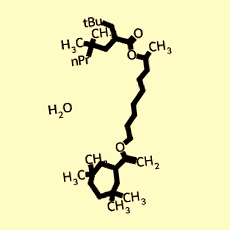 C=C(OCCCCCCCC(C)OC(=O)C(CC(C)(C)C)CC(C)(C)CCC)C1CC(C)(C)CCC(C)(C)C1.O